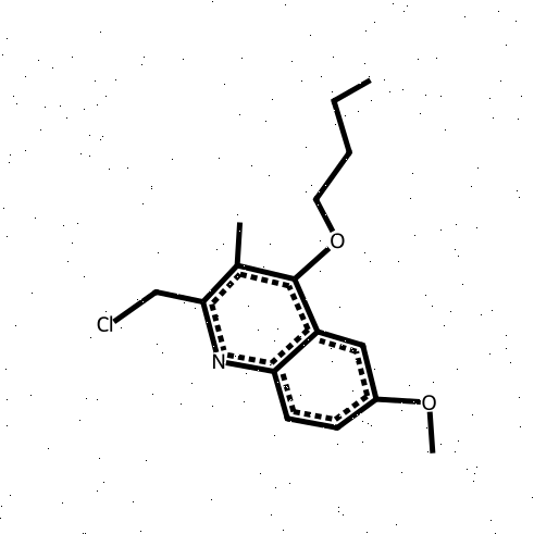 CCCCOc1c(C)c(CCl)nc2ccc(OC)cc12